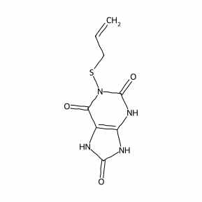 C=CCSn1c(=O)[nH]c2[nH]c(=O)[nH]c2c1=O